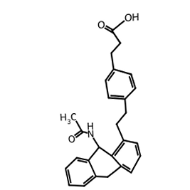 CC(=O)NC1c2ccccc2Cc2cccc(CCc3ccc(CCC(=O)O)cc3)c21